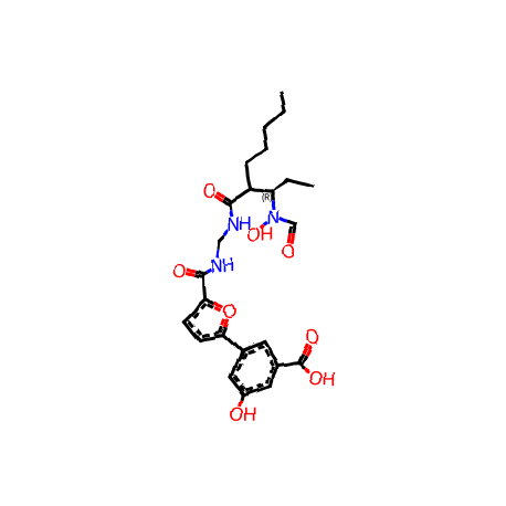 CCCCCC(C(=O)NCNC(=O)c1ccc(-c2cc(O)cc(C(=O)O)c2)o1)[C@@H](CC)N(O)C=O